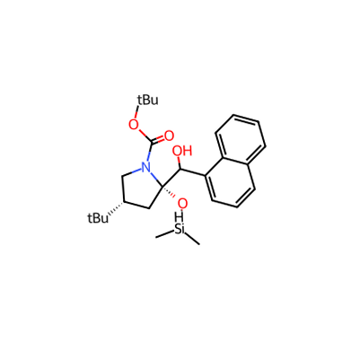 C[SiH](C)O[C@]1(C(O)c2cccc3ccccc23)C[C@H](C(C)(C)C)CN1C(=O)OC(C)(C)C